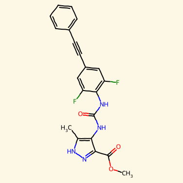 COC(=O)c1n[nH]c(C)c1NC(=O)Nc1c(F)cc(C#Cc2ccccc2)cc1F